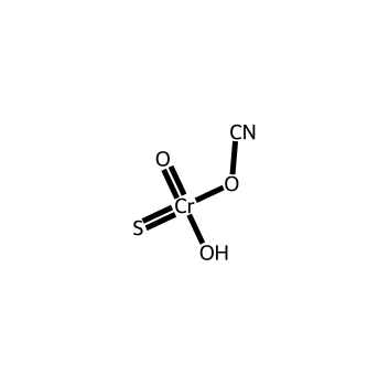 N#C[O][Cr](=[O])([OH])=[S]